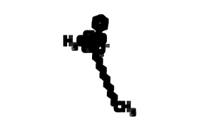 CCCCCCCCCCCCCCC(CCc1ccccc1)(C(=O)[O-])[N+](C)(C)C